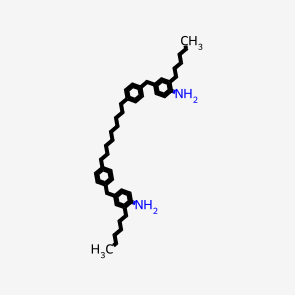 CCCCCCc1cc(Cc2ccc(CCCCCCCCCc3ccc(Cc4ccc(N)c(CCCCCC)c4)cc3)cc2)ccc1N